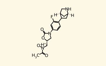 CC(=O)[NH+]([O-])C[C@@H]1CN(c2ccc(C3C[C@H]4C[C@@H]3CN4)c(F)c2)C(=O)O1